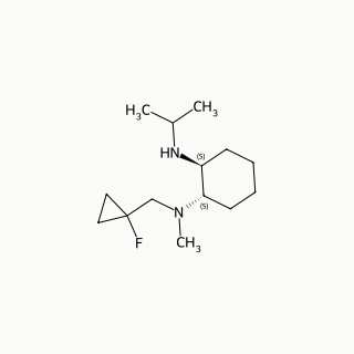 CC(C)N[C@H]1CCCC[C@@H]1N(C)CC1(F)CC1